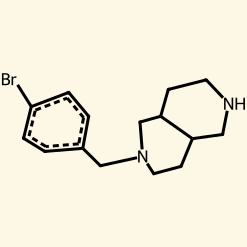 Brc1ccc(CN2CCC3CNCCC3C2)cc1